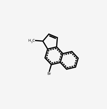 CC1C=Cc2c1cc(Br)c1ccccc21